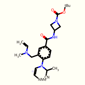 C=CN(C)Cc1cc(C(=O)NC2CN(C(=O)OC(C)(C)C)C2)ccc1N(/C=C\NC)C(C)C#N